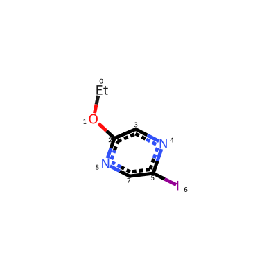 CCOc1cnc(I)cn1